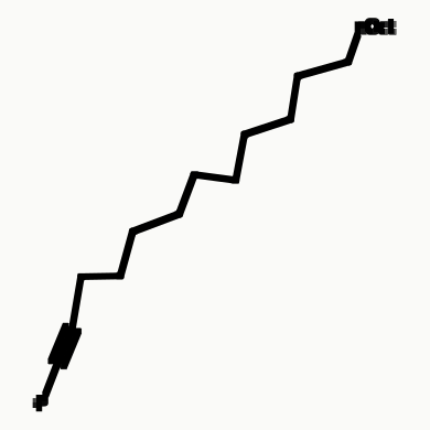 CCCCCCCCCCCCCCCCCCC#C[P]